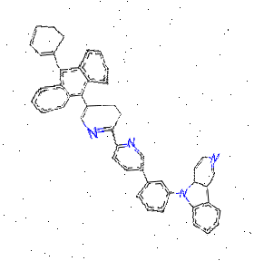 C1=CCCC(c2c3ccccc3c(C3=CN=C(c4ccc(-c5cccc(N6c7ccccc7C7C=NC=CC76)c5)cn4)CC3)c3ccccc23)=C1